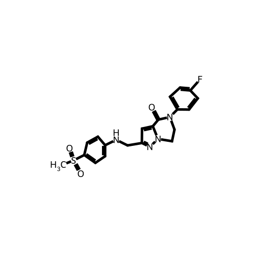 CS(=O)(=O)c1ccc(NCc2cc3n(n2)CCN(c2ccc(F)cc2)C3=O)cc1